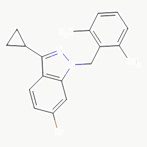 Cc1cccc(C)c1Cn1nc(C2CC2)c2ccc(Br)cc21